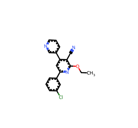 CCOc1nc(-c2cccc(Cl)c2)cc(-c2cccnc2)c1C#N